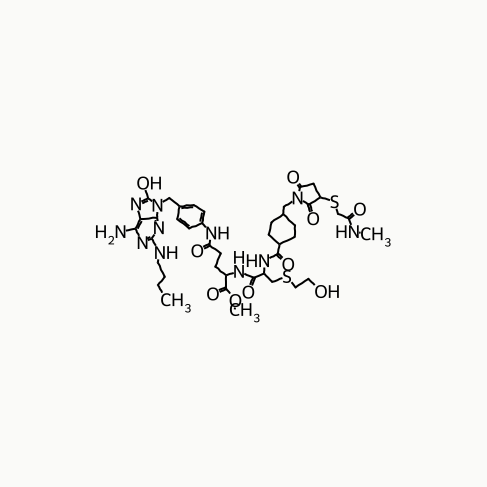 CCCCNc1nc(N)c2nc(O)n(Cc3ccc(NC(=O)CCC(NC(=O)C(CSCCO)NC(=O)C4CCC(CN5C(=O)CC(SCC(=O)NC)C5=O)CC4)C(=O)OC)cc3)c2n1